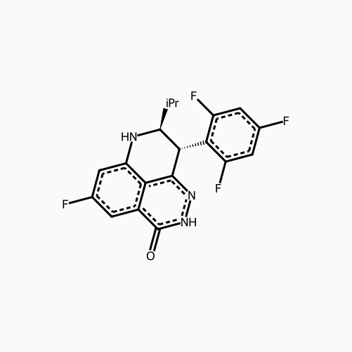 CC(C)[C@@H]1Nc2cc(F)cc3c(=O)[nH]nc(c23)[C@H]1c1c(F)cc(F)cc1F